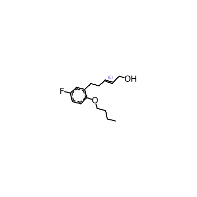 CCCCOc1ccc(F)cc1CC/C=C/CO